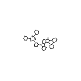 c1ccc(-c2nc(-c3ccccc3)nc(-c3cccc(-n4c5ccccc5c5c6c(ccc54)oc4c5ccccc5c5ccccc5c46)c3)n2)cc1